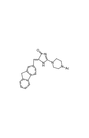 CC(=O)N1CCN(C2=NC(=O)/C(=C/c3ccc4c(c3)Cc3ccccc3-4)N2)CC1